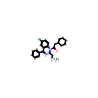 CCOC(=O)CCN(C(=O)CC1CCCCC1)c1ccc(Cl)cc1C(=N)c1ccccc1